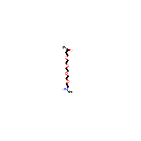 CC(C)C(=O)CCOCCOCCOCCOCCNC(C)(C)C